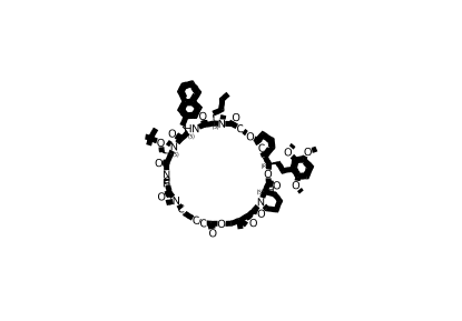 CCCC[C@H]1C(=O)N[C@@H](Cc2ccc3ccccc3c2)C(=O)N(C)[C@@H](COC(C)(C)C)C(=O)NCC(=O)N(C)CCCCC(=O)OCC(C)(C)C(=O)C(=O)N2CCCC[C@H]2C(=O)O[C@H](CCc2c(OC)ccc(OC)c2OC)c2cccc(c2)OCC(=O)N1C